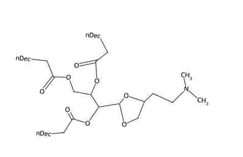 CCCCCCCCCCCC(=O)OCC(OC(=O)CCCCCCCCCCC)C(OC(=O)CCCCCCCCCCC)C1OCC(CCN(C)C)O1